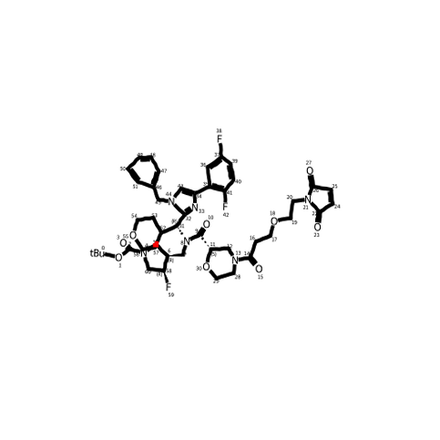 CC(C)(C)OC(=O)N1C[C@@H](CN(C(=O)[C@@H]2CN(C(=O)CCOCCN3C(=O)C=CC3=O)CCO2)[C@@H](c2nc(-c3cc(F)ccc3F)cn2Cc2ccccc2)C2CCOCC2)[C@@H](F)C1